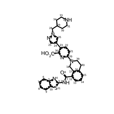 O=C(Nc1nc2ccccc2s1)c1cccc2c1CN(c1ccc(-c3cnn(CC4CCNCC4)c3)c(C(=O)O)n1)CC2